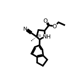 CCOC(=O)C1C[C@](C)(C#N)C(c2ccc3c(c2)CCC3)N1